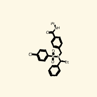 CCC(c1ccccc1)N(Cc1ccc(C(=O)NC(C)C)cc1)S(=O)(=O)c1ccc(Cl)cc1